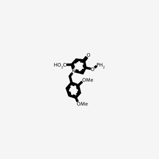 COc1ccc(Cn2cc(OP)c(=O)cc2C(=O)O)c(OC)c1